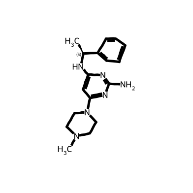 C[C@H](Nc1cc(N2CCN(C)CC2)nc(N)n1)c1ccccc1